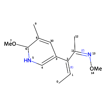 C/C=C(C1=CNC(OC)C(C)=C1)/C(C)=N\OC